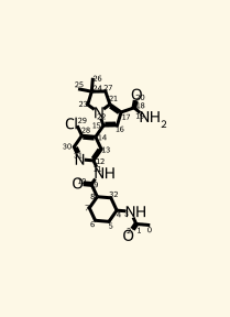 CC(=O)NC1CCCC(C(=O)Nc2cc(-c3cc(C(N)=O)c4n3CC(C)(C)C4)c(Cl)cn2)C1